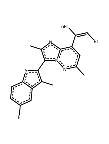 CC/C=C(/CCC)c1cc(C)nn2c(-c3sc4ccc(F)cc4c3C)c(C)nc12